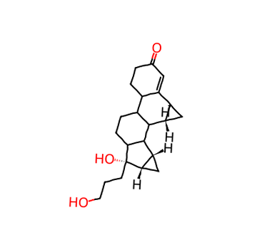 O=C1C=C2C(CC1)C1CCC3C(C1[C@H]1C[C@@H]21)[C@@H]1C[C@@H]1[C@@]3(O)CCCO